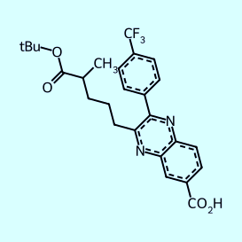 CC(CCCc1nc2cc(C(=O)O)ccc2nc1-c1ccc(C(F)(F)F)cc1)C(=O)OC(C)(C)C